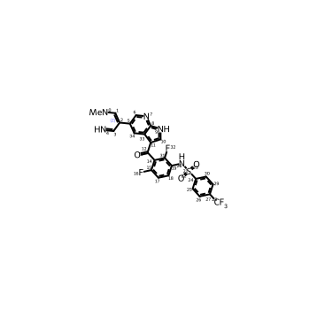 CN/C=C(\C=N)c1cnc2[nH]cc(C(=O)c3c(F)ccc(NS(=O)(=O)c4ccc(C(F)(F)F)cc4)c3F)c2c1